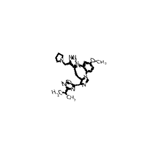 COc1ccc2c(c1)-n1nnc(CN3CCCC3)c1Cc1c(-c3nc(C(C)C)no3)ncn1-2